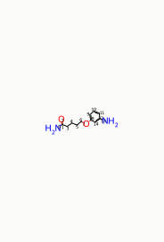 NC(=O)CCCCOc1cccc(N)c1